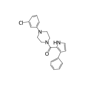 O=C(c1[nH]ccc1-c1ccccc1)N1CCN(c2cccc(Cl)c2)CC1